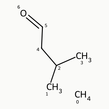 C.CC(C)CC=O